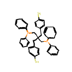 Sc1ccc(CC(Cc2ccc(S)cc2)(CP(c2ccccc2)c2ccccc2)CP(c2ccccc2)c2ccccc2)cc1